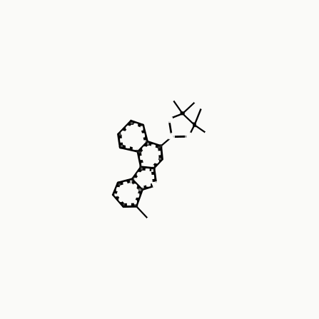 Cc1cccc2c1oc1cc(B3OC(C)(C)C(C)(C)O3)c3ccccc3c12